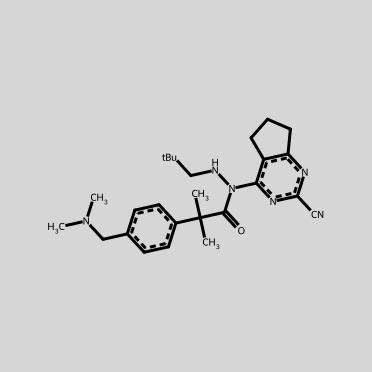 CN(C)Cc1ccc(C(C)(C)C(=O)N(NCC(C)(C)C)c2nc(C#N)nc3c2CCC3)cc1